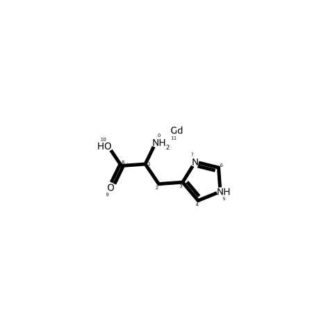 NC(Cc1c[nH]cn1)C(=O)O.[Gd]